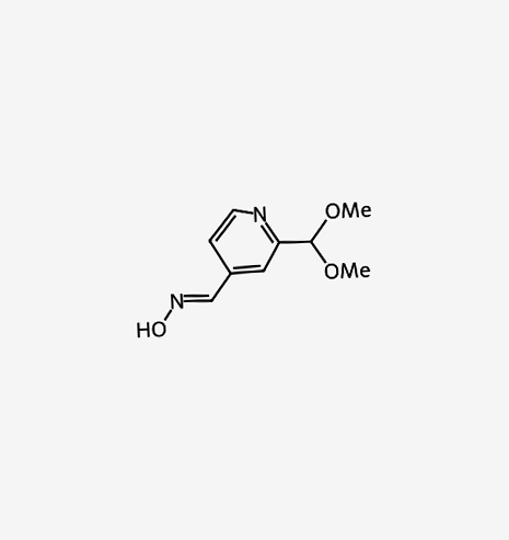 COC(OC)c1cc(C=NO)ccn1